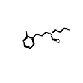 CCCCN(C=O)CCCc1ccccc1C